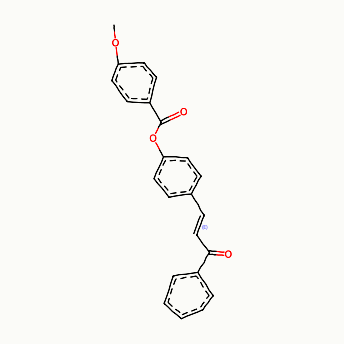 COc1ccc(C(=O)Oc2ccc(/C=C/C(=O)c3ccccc3)cc2)cc1